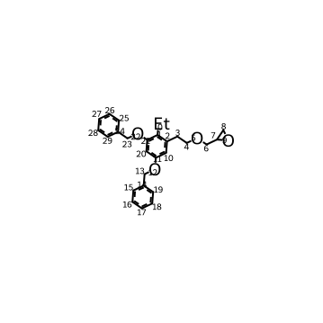 CCc1c(CCOCC2CO2)cc(OCc2ccccc2)cc1OCc1ccccc1